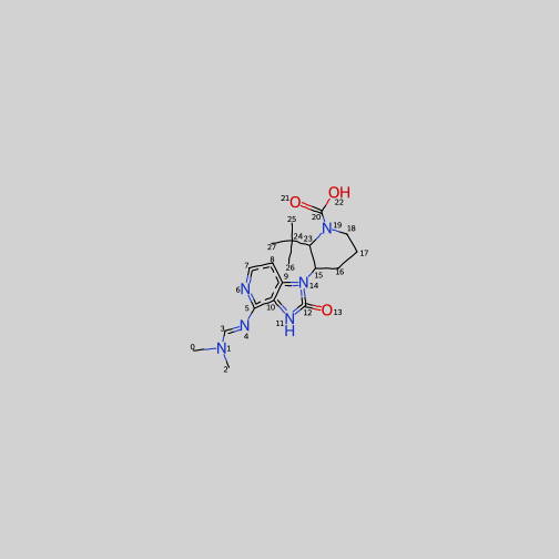 CN(C)C=Nc1nccc2c1[nH]c(=O)n2C1CCCN(C(=O)O)C1C(C)(C)C